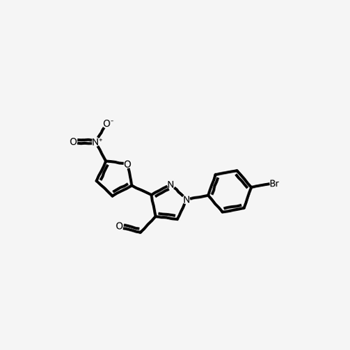 O=Cc1cn(-c2ccc(Br)cc2)nc1-c1ccc([N+](=O)[O-])o1